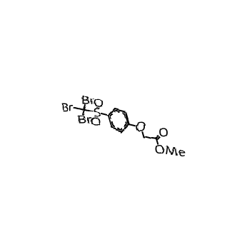 COC(=O)COc1ccc(S(=O)(=O)C(Br)(Br)Br)cc1